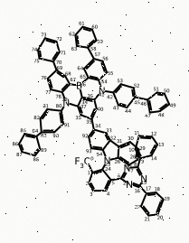 FC(F)(F)c1cccc(-c2nc(-c3ccccc3)nc(-c3ccccc3)n2)c1-n1c2ccccc2c2cc(-c3cc4c5c(c3)N(c3ccc(-c6ccccc6)cc3)c3ccc(-c6ccccc6)cc3B5c3cc(-c5ccccc5)ccc3N4c3ccc(-c4ccccc4)cc3)ccc21